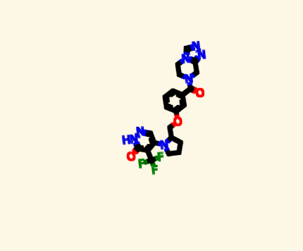 O=C(c1cccc(OCC2CCCN2c2cn[nH]c(=O)c2C(F)(F)F)c1)N1CCn2cnnc2C1